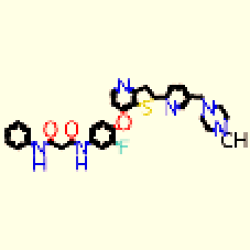 CN1CCN(Cc2ccc(C3Cc4nccc(Oc5ccc(NC(=O)CC(=O)Nc6ccccc6)cc5F)c4S3)nc2)CC1